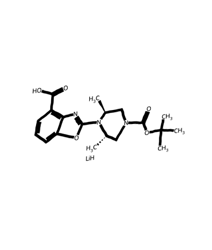 C[C@H]1CN(C(=O)OC(C)(C)C)C[C@H](C)N1c1nc2c(C(=O)O)cccc2o1.[LiH]